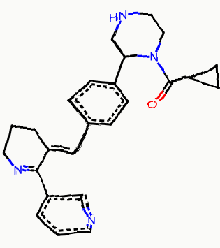 O=C(C1CC1)N1CCNCC1c1ccc(C=C2CCCN=C2c2cccnc2)cc1